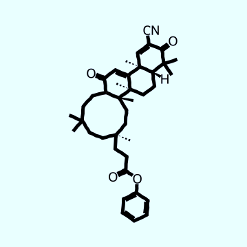 CC1(C)CCC2C(=O)C=C3[C@@]4(C)C=C(C#N)C(=O)C(C)(C)[C@@H]4CC[C@@]3(C)[C@]2(C)CC[C@@](C)(CCC(=O)Oc2ccccc2)CC1